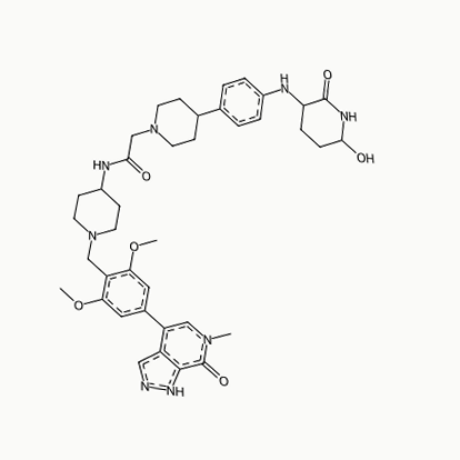 COc1cc(-c2cn(C)c(=O)c3[nH]ncc23)cc(OC)c1CN1CCC(NC(=O)CN2CCC(c3ccc(NC4CCC(O)NC4=O)cc3)CC2)CC1